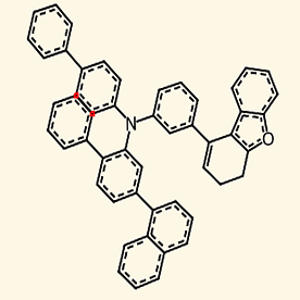 C1=C(c2cccc(N(c3ccc(-c4ccccc4)cc3)c3cc(-c4cccc5ccccc45)ccc3-c3ccccc3)c2)c2c(oc3ccccc23)CC1